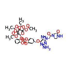 CC(=O)OC[C@H]1OC(Oc2ccccc2OS(=O)(=O)Oc2ccc(COc3nc(N)nc4c3ncn4CC(=O)N3CCNC(=O)C3)cc2)[C@H](OC(C)=O)[C@@H](OC(C)=O)[C@H]1OC(C)=O